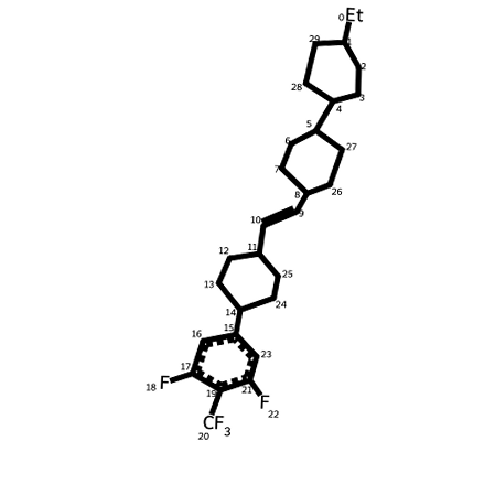 CCC1CCC(C2CCC(/C=C/C3CCC(c4cc(F)c(C(F)(F)F)c(F)c4)CC3)CC2)CC1